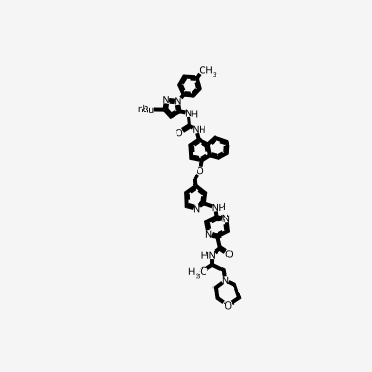 CCCCc1cc(NC(=O)Nc2ccc(OCc3ccnc(Nc4cnc(C(=O)NC(C)CN5CCOCC5)cn4)c3)c3ccccc23)n(-c2ccc(C)cc2)n1